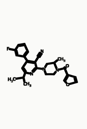 CC(C)c1cc(-c2cccc(F)c2)c(C#N)c(N2CCN(C(=O)c3ccoc3)C(C)C2)n1